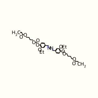 C=CC(=O)OCCCCOOc1ccc(/C=N/N=C/c2ccc(OC(=O)OCCCCOC(=O)C=C)c(OCC)c2)cc1OCC